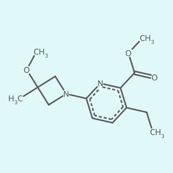 CCc1ccc(N2CC(C)(OC)C2)nc1C(=O)OC